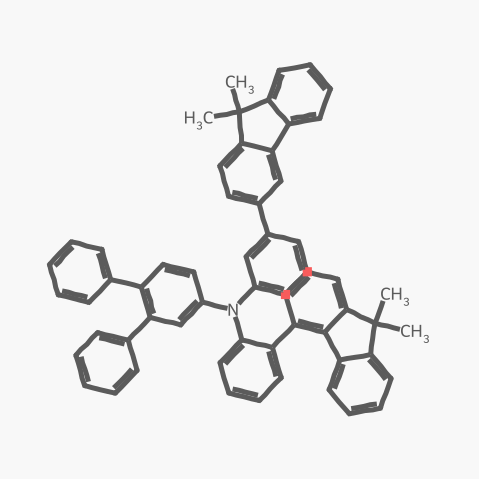 CC1(C)c2ccccc2-c2cc(-c3cccc(N(c4ccc(-c5ccccc5)c(-c5ccccc5)c4)c4ccccc4-c4cccc5c4-c4ccccc4C5(C)C)c3)ccc21